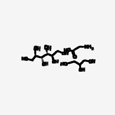 NCC(=O)O.OCC(O)CO.OC[C@@H](O)[C@@H](O)[C@H](O)[C@H](O)CO